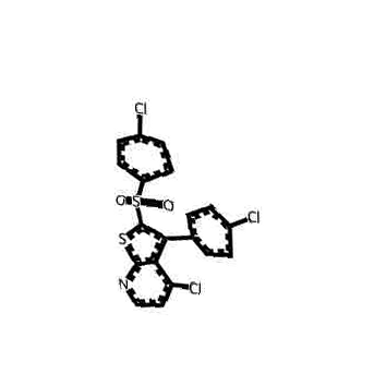 O=S(=O)(c1ccc(Cl)cc1)c1sc2nccc(Cl)c2c1-c1ccc(Cl)cc1